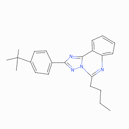 CCCCc1nc2ccccc2c2nc(-c3ccc(C(C)(C)C)cc3)nn12